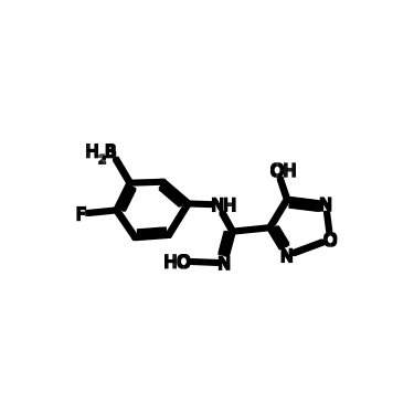 Bc1cc(N/C(=N\O)c2nonc2O)ccc1F